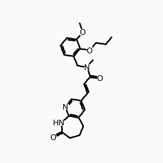 CCCOc1c(CN(C)C(=O)/C=C/c2cnc3c(c2)CCCC(=O)N3)cccc1OC